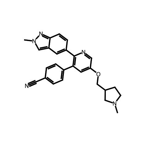 CN1CCC(COc2cnc(-c3ccc4nn(C)cc4c3)c(-c3ccc(C#N)cc3)c2)C1